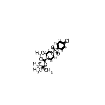 C[C@H]1CN(S(=O)(=O)c2ccc(Cl)cc2)CCN1C(=O)OC(C)(C)C